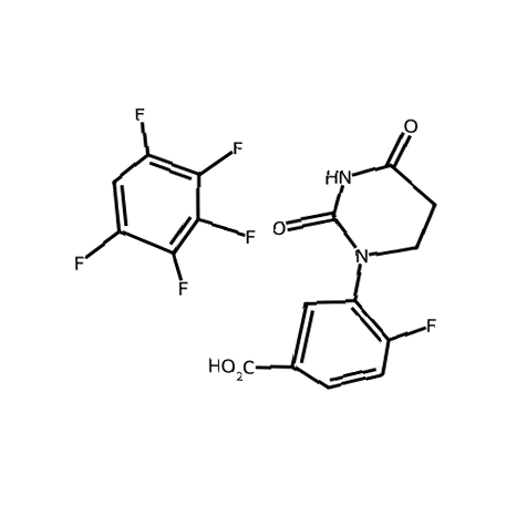 Fc1cc(F)c(F)c(F)c1F.O=C1CCN(c2cc(C(=O)O)ccc2F)C(=O)N1